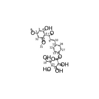 COc1cc(O)c(C(=O)/C=C/c2ccc(O[C@@H]3O[C@H](CO)[C@@H](O)[C@H](O)[C@H]3O)cc2)c(OC)c1